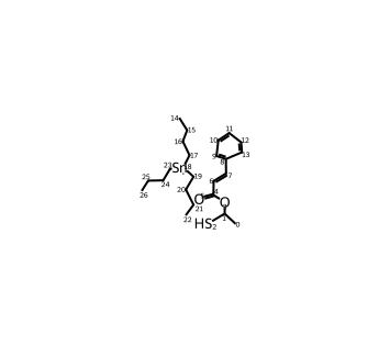 CC(S)OC(=O)C=Cc1ccccc1.CCC[CH2][Sn]([CH2]CCC)[CH2]CCC